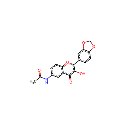 CC(=O)Nc1ccc2oc(-c3ccc4c(c3)OCO4)c(O)c(=O)c2c1